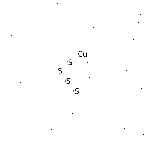 [Cu].[S].[S].[S].[S]